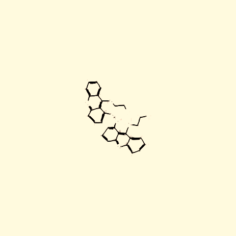 OCCNc1c2ccccc2nc2cccc(N=Nc3cccc4nc5ccccc5c(NCCO)c34)c12